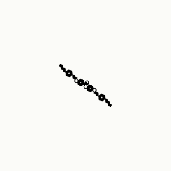 CCCCC[C@H]1CC[C@H](CCCOc2ccc(OC(=O)c3ccc(OCCC[C@H]4CC[C@H](CCCCC)CC4)cc3)cc2)CC1